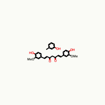 COc1cc(/C=C/C(=O)CC(=O)/C=C/c2ccc(O)c(OC)c2)ccc1O.Cc1cccc(O)c1